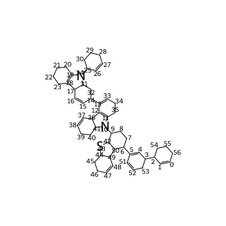 C1=CC(C2C=C(C3CCC(N4C5=C(C(C6C=CC7C8=C(CCCC8)N(C8C=CCCC8)C7C6)=CCC5)C5C=CCCC54)C4SC5CCC=CC5C34)C=CC2)CCC1